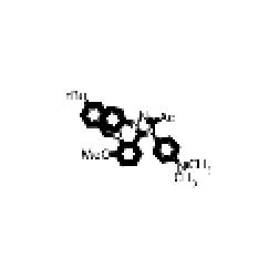 COc1cccc(C2N(c3ccccc3)N=C(C(C)=O)N2c2ccc(N(C)C)cc2)c1OCc1ccc(C(C)(C)C)cc1